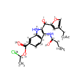 CC(=O)OCc1coc(C(=O)c2[nH]c3cc(C(=O)OC(C)Cl)ccc3c2NC(=O)CC(C)C)c1